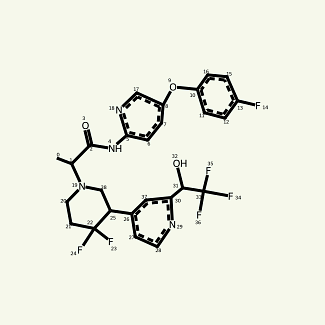 CC(C(=O)Nc1ccc(Oc2ccc(F)cc2)cn1)N1CCC(F)(F)C(c2ccnc(C(O)C(F)(F)F)c2)C1